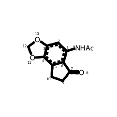 CC(=O)Nc1cc2c(c3c1C(=O)CC3)OCO2